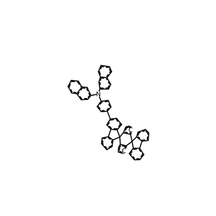 c1ccc2c(c1)-c1ccccc1C21c2ccccc2C2(c3ccccc3-c3cc(-c4ccc(N(c5ccc6ccccc6c5)c5ccc6ccccc6c5)cc4)ccc32)c2ccccc21